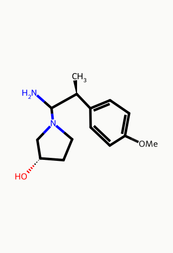 COc1ccc([C@H](C)C(N)N2CC[C@H](O)C2)cc1